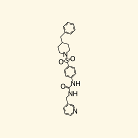 O=C(NCc1cccnc1)Nc1ccc(S(=O)(=O)N2CCC(Cc3ccccc3)CC2)cc1